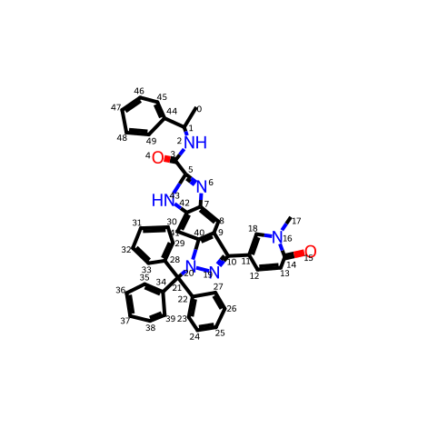 CC(NC(=O)c1nc2cc3c(-c4ccc(=O)n(C)c4)nn(C(c4ccccc4)(c4ccccc4)c4ccccc4)c3cc2[nH]1)c1ccccc1